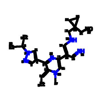 CC/C=C1/C(c2cnn(C(CC)CC)c2)=NC(/C(C=N)=C/NCC2(CN=O)CC2)=CN1C